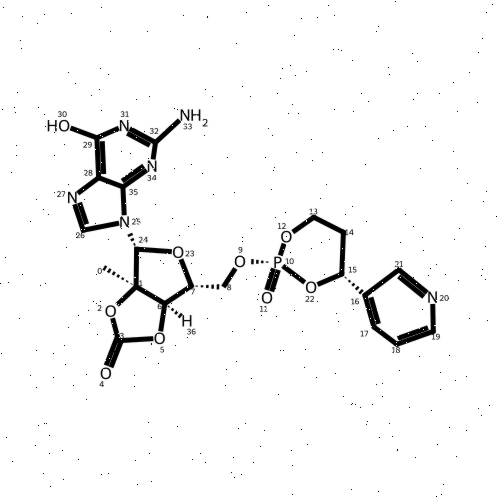 C[C@@]12OC(=O)O[C@@H]1[C@@H](CO[P@]1(=O)OCC[C@H](c3cccnc3)O1)O[C@H]2n1cnc2c(O)nc(N)nc21